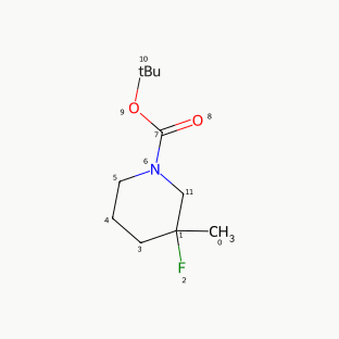 CC1(F)CCCN(C(=O)OC(C)(C)C)C1